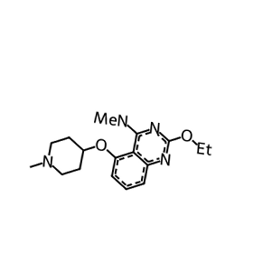 CCOc1nc(NC)c2c(OC3CCN(C)CC3)cccc2n1